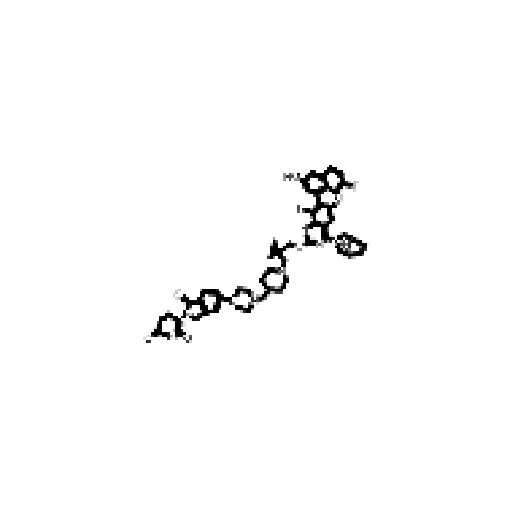 O=C1CC[C@H](N2Cc3cc(N4CCN(CC5CCN(CC6(COc7nc(N8CC9CCC(C8)N9)c8cc(F)c(-c9cc(O)cc%10ccc(F)c(Cl)c9%10)c(F)c8n7)CC6)CC5)CC4)ccc3C2=O)C(=O)N1